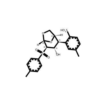 Cc1ccc(S(=O)(=O)[C@H]2[C@@H]3OC[C@H](O3)[C@@H](c3cc(C)ccc3S(=O)(=O)O)[C@@H]2O)cc1